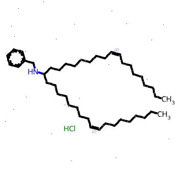 CCCCCCCC/C=C\CCCCCCCCC(CCCCCCCC/C=C\CCCCCCCC)NCc1ccccc1.Cl